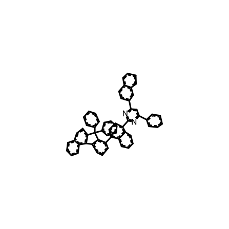 c1ccc(-c2cc(-c3ccc4ccccc4c3)nc(-c3ccc(-c4cccc5c4C(c4ccccc4)(c4ccccc4)c4ccc6ccccc6c4-5)c4ccccc34)n2)cc1